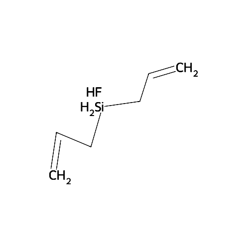 C=CC[SiH2]CC=C.F